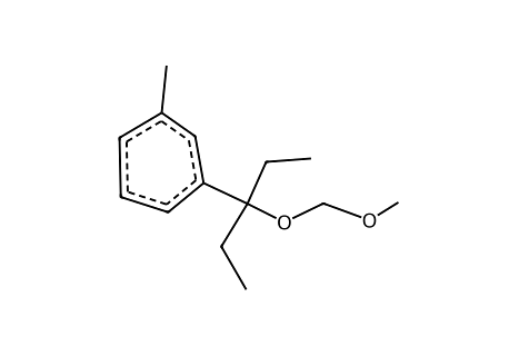 CCC(CC)(OCOC)c1cccc(C)c1